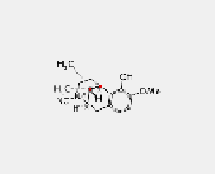 COc1ccc2c(c1O)[C@@]13CC[C@@H](C)[C@H](C)[C@H]1[C@@H](C2)N(C#N)CC3